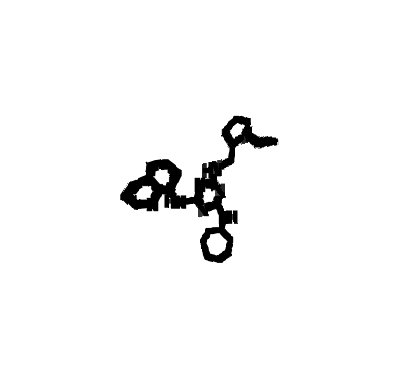 CCN1CCCC1CNc1nc(Nc2cccc3cccnc23)nc(NC2CCCCCC2)n1